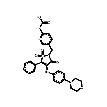 O=C(O)Nc1ccc(CN2C(=O)C(Nc3ccc(N4CCOCC4)cc3)=C(c3ccccc3)S2(=O)=O)cn1